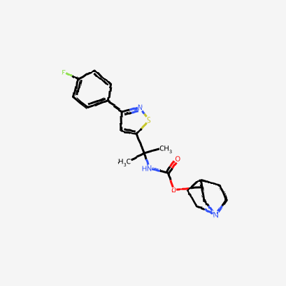 CC(C)(NC(=O)OC1CN2CCC1CC2)c1cc(-c2ccc(F)cc2)ns1